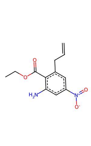 C=CCc1cc([N+](=O)[O-])cc(N)c1C(=O)OCC